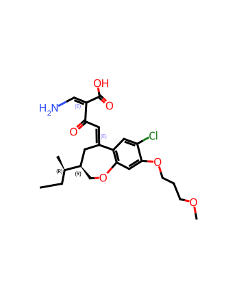 CC[C@@H](C)[C@@H]1COc2cc(OCCCOC)c(Cl)cc2/C(=C/C(=O)/C(=C\N)C(=O)O)C1